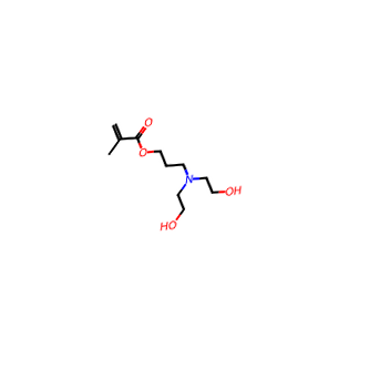 C=C(C)C(=O)OCCCN(CCO)CCO